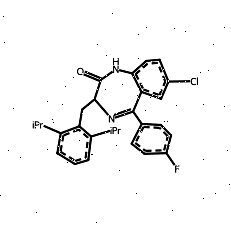 CC(C)c1cccc(C(C)C)c1CC1N=C(c2ccc(F)cc2)c2cc(Cl)ccc2NC1=O